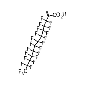 C=C(C(=O)O)C(F)(F)C(F)(F)C(F)(F)C(F)(F)C(F)(F)C(F)(F)C(F)(F)C(F)(F)C(F)(F)C(F)(F)C(F)(F)F